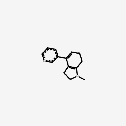 CN1CCC2=C1CCC=C2c1cccnc1